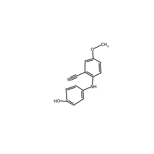 COc1[c]cc(Nc2ccc(O)cc2)c(C#N)c1